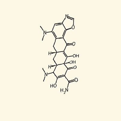 CN(C)c1cc2ncoc2c2c1C[C@H]1C[C@H]3C(N(C)C)C(O)=C(C(N)=O)C(=O)[C@@]3(O)C(O)=C1C2=O